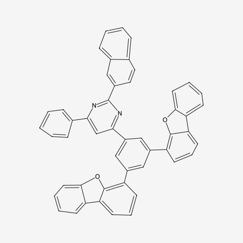 c1ccc(-c2cc(-c3cc(-c4cccc5c4oc4ccccc45)cc(-c4cccc5c4oc4ccccc45)c3)nc(-c3ccc4ccccc4c3)n2)cc1